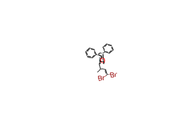 CC(C=C(Br)Br)CO[SiH](c1ccccc1)c1ccccc1